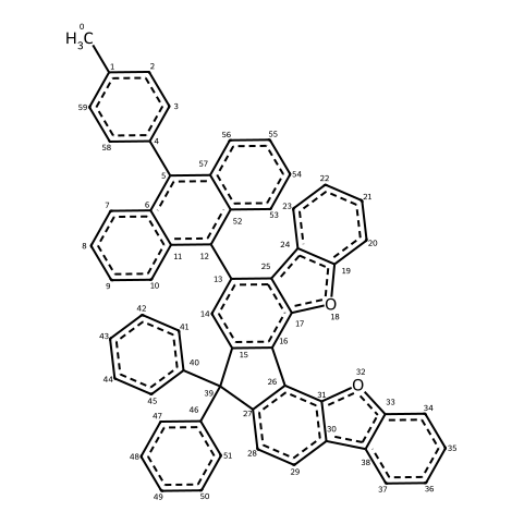 Cc1ccc(-c2c3ccccc3c(-c3cc4c(c5oc6ccccc6c35)-c3c(ccc5c3oc3ccccc35)C4(c3ccccc3)c3ccccc3)c3ccccc23)cc1